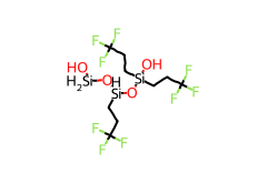 O[SiH2]O[SiH](CCC(F)(F)F)O[Si](O)(CCC(F)(F)F)CCC(F)(F)F